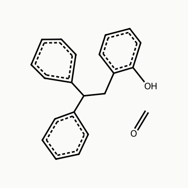 C=O.Oc1ccccc1CC(c1ccccc1)c1ccccc1